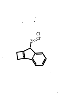 [Cl-].[Cl-].[Zr+2][CH]1C2=C(CC2)c2ccccc21